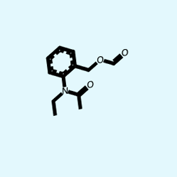 CCN(C(C)=O)c1ccccc1COC=O